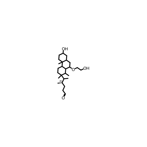 CC1C2C(OCCO)CC3CC(O)CCC3(C)C2CCC1(C)C(C)[C@H](C)CCC=O